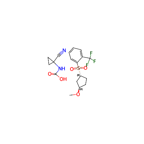 CO[C@@H]1CC[C@@H](S(=O)(=O)c2ccccc2C(F)(F)F)C1.N#CC1(NC(=O)O)CC1